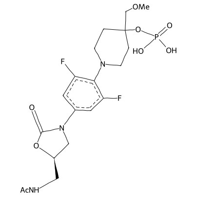 COCC1(OP(=O)(O)O)CCN(c2c(F)cc(N3C[C@@H](CNC(C)=O)OC3=O)cc2F)CC1